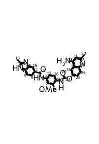 COc1cc(NC(=O)c2ccc3[nH]c(C)nc3c2)ccc1NC(=O)Oc1ccc2nc(C)cc(N)c2c1